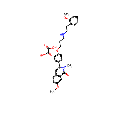 COc1ccc2cc(-c3ccc(OCCCNCCc4ccccc4OC)cc3)n(C)c(=O)c2c1.O=C(O)C(=O)O